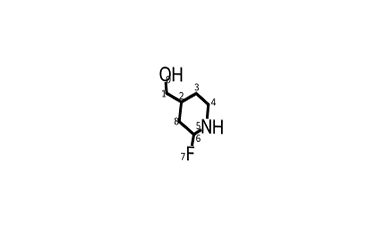 OCC1CCNC(F)C1